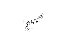 CS(=O)(=O)OCC1CN(c2ccc(C(=N)NC(=O)c3cccc(C(F)(F)F)c3)cc2)C(=O)O1